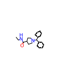 CCNC(=O)C1CCN(C(c2ccccc2)c2ccccc2)CC1